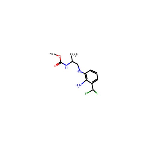 CC(C)(C)OC(=O)NC(CNc1cccc(C(F)F)c1N)C(=O)O